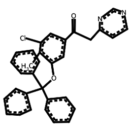 Cc1c(Cl)cc(C(=O)Cc2ccncn2)cc1OC(c1ccccc1)(c1ccccc1)c1ccccc1